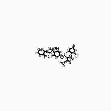 Cc1cc(F)cc(Cl)c1-n1ncc(C2CC2)c1COc1ccc(C2(O)CN(c3ncccc3F)C2)c(Cl)c1